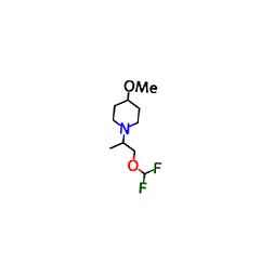 COC1CCN(C(C)COC(F)F)CC1